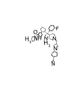 CNC(=O)O[C@H]1CCCC1[C@](CN)(c1cccc(F)c1)C1CCN(CC2CN(c3ccc(C#N)cc3)C2)CC1